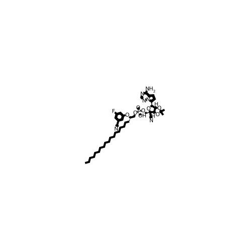 CCCCCCCCCCCCCCCCCC[C@@H](COP(=O)(O)OC[C@@]1(C#N)O[C@@H](c2ccc3c(N)ncnn23)[C@@H]2OC(C)(C)O[C@@H]21)Oc1cc(F)cc(C#N)c1